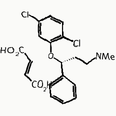 CNCC[C@@H](Oc1cc(Cl)ccc1Cl)c1ccccc1.O=C(O)/C=C/C(=O)O